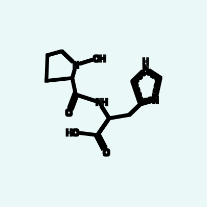 O=C(O)C(Cc1c[nH]cn1)NC(=O)C1CCCN1O